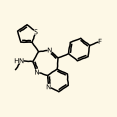 CNC1=Nc2ncccc2C(c2ccc(F)cc2)=NC1c1cccs1